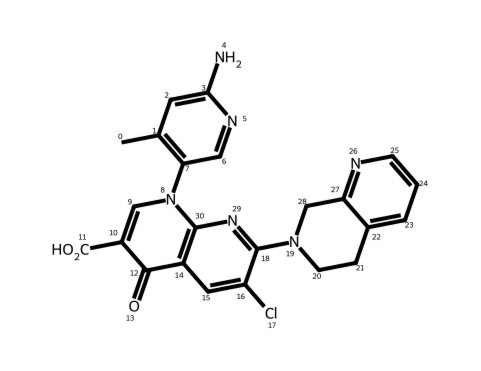 Cc1cc(N)ncc1-n1cc(C(=O)O)c(=O)c2cc(Cl)c(N3CCc4cccnc4C3)nc21